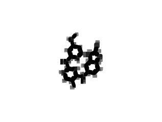 COc1ccnc(Nc2ncc(C)c(Nc3ccc4oc(=O)[nH]c4c3)n2)c1